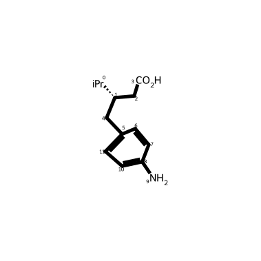 CC(C)[C@H](CC(=O)O)Cc1ccc(N)cc1